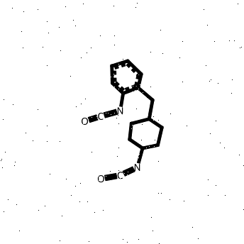 O=C=Nc1ccccc1CC1CCC(N=C=O)CC1